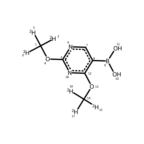 [2H]C([2H])([2H])Oc1ncc(B(O)O)c(OC([2H])([2H])[2H])n1